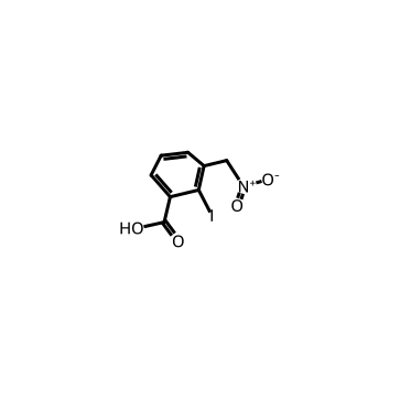 O=C(O)c1cccc(C[N+](=O)[O-])c1I